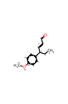 CCC(/C=C/C=O)c1ccc(OC)cc1